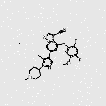 COc1nc(Sc2cc(-c3cnn(C4CCN(C)CC4)c3C)cn3ncc(C#N)c23)c(F)cc1F